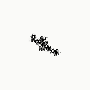 COc1cc(N=Nc2ccc(S(=O)(=O)[O-])cc2)c(C)cc1N=Nc1c(S(=O)(=O)[O-])cc2cc(Nc3ccccc3)ccc2c1O.[Na+].[Na+]